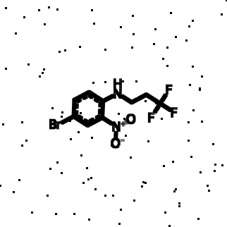 O=[N+]([O-])c1cc(Br)ccc1NCCC(F)(F)F